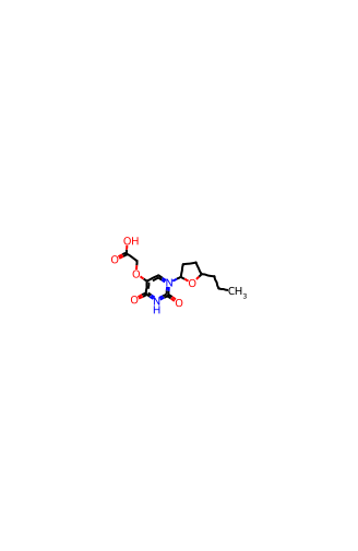 CCCC1CCC(n2cc(OCC(=O)O)c(=O)[nH]c2=O)O1